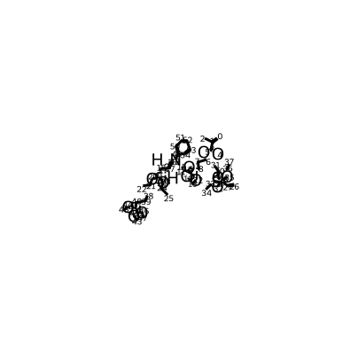 C=C(C)C(=O)OCCC[Si](OC)(OC)OC.C=CC[SiH](OCC)OCC.C=C[Si](OCC)(OCC)OCC.CCC[Si](OC)(OC)OC.Nc1ccccc1